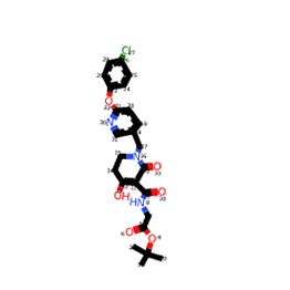 CC(C)(C)OC(=O)CNC(=O)C1=C(O)CCN(Cc2ccc(Oc3ccc(Cl)cc3)nc2)C1=O